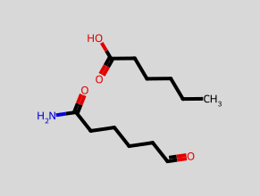 CCCCCC(=O)O.NC(=O)CCCCC=O